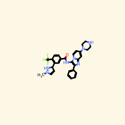 CN1C=CC(c2cc(C(=O)Nc3c(-c4ccccc4)nc4cc(N5CCNCC5)ccn34)ccc2C(F)(F)F)N1